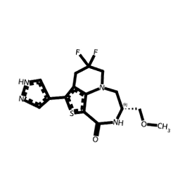 COC[C@H]1CN2CC(F)(F)Cc3c(-c4cn[nH]c4)sc(c32)C(=O)N1